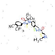 Cc1ncc(C(=O)NCc2ccc(N3C(=S)N(c4ccc(C#N)c(C(F)(F)F)c4)C(=O)C3(C)C)cc2F)s1